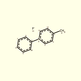 Cc1cc[n+](-c2ccccc2)cc1.[F-]